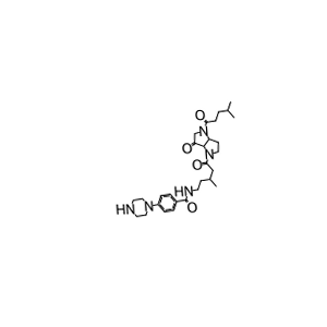 CC(C)CCC(=O)N1CC(=O)C2C1CCN2C(=O)CC(C)CCNC(=O)c1ccc(N2CCNCC2)cc1